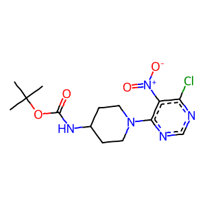 CC(C)(C)OC(=O)NC1CCN(c2ncnc(Cl)c2[N+](=O)[O-])CC1